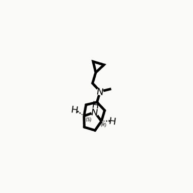 CN(CC1CC1)C1C[C@H]2CC[C@@H](C1)N2